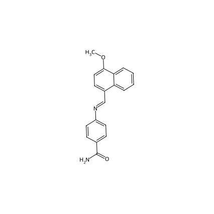 COc1ccc(/C=N/c2ccc(C(N)=O)cc2)c2ccccc12